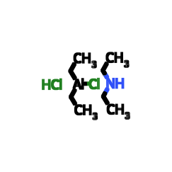 CCNCC.C[CH2][Al]([Cl])[CH2]C.Cl